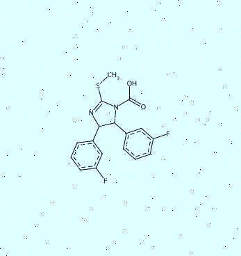 CSC1=NC(c2cccc(F)c2)C(c2cccc(F)c2)N1C(=O)O